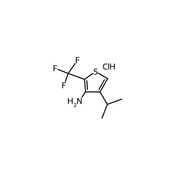 CC(C)c1csc(C(F)(F)F)c1N.Cl